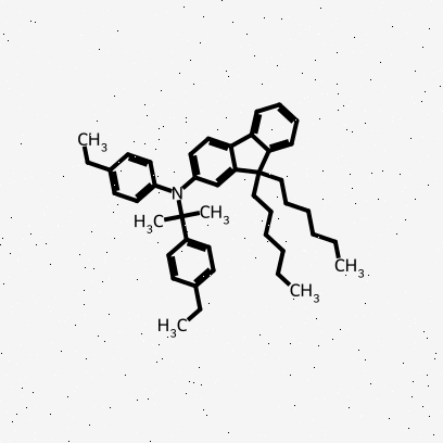 CCCCCCC1(CCCCCC)c2ccccc2-c2ccc(N(c3ccc(CC)cc3)C(C)(C)c3ccc(CC)cc3)cc21